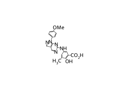 COc1ccc(-n2ncc3cnc(Nc4cc(C)c(O)c(C(=O)O)c4)nc32)cc1